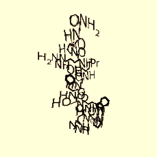 CC(C)CC(NC(=O)CNC(=O)C(Cc1ccc(O)cc1)NC(=O)C(CO)NC(=O)C(Cc1c[nH]c2ccccc12)NC(=O)C(Cc1c[nH]cn1)NC(=O)[C@@H]1CCCN1)C(=O)NC(CCCNC(=N)N)C(=O)N1CCC[C@H]1C(=O)NCC(N)=O